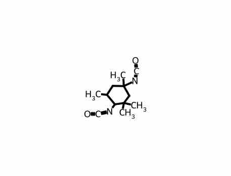 CC1CC(C)(N=C=O)CC(C)(C)C1N=C=O